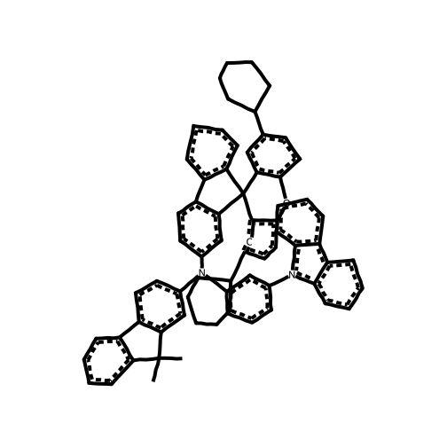 CC1(C)c2ccccc2-c2ccc(N(c3cccc(-n4c5ccccc5c5ccccc54)c3)c3ccc4c(c3)C3(c5cc(C6CCCCC6)ccc5Oc5ccc(C6CCCCC6)cc53)c3ccccc3-4)cc21